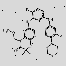 CC1(C)Oc2ccc(Nc3nc(Nc4ccc(N5CCOCC5)c(F)c4)ncc3F)nc2N(COP)C1=O